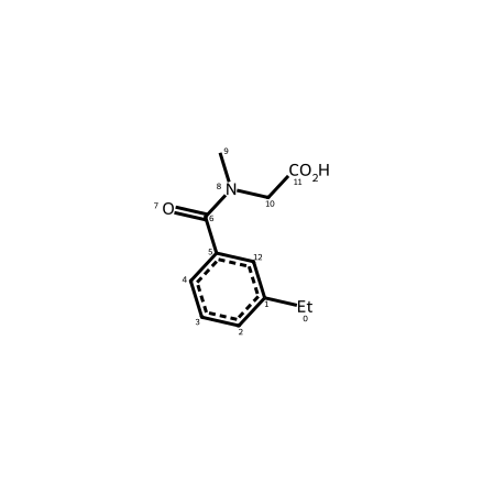 CCc1cccc(C(=O)N(C)CC(=O)O)c1